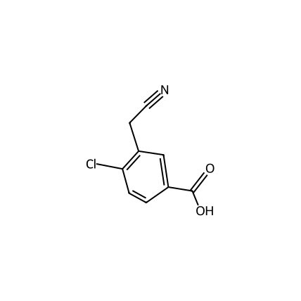 N#CCc1cc(C(=O)O)ccc1Cl